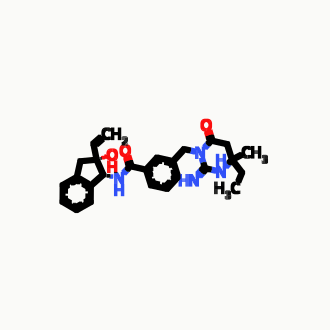 C=C[C@]1(O)Cc2ccccc2[C@H]1NC(=O)c1cccc(CN2C(=N)NC(C)(CC)CC2=O)c1